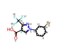 O=C(O)c1cn(-c2cccc(Br)c2)nc1C(F)(F)F